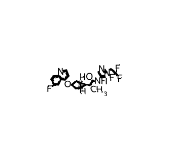 CC(C(=O)Nc1cnn(CC(F)(F)F)c1)C1[C@H]2CC(Oc3ccnc4ccc(F)cc34)C[C@@H]12